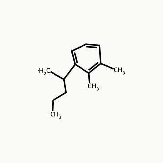 [CH2]C(CCC)c1cccc(C)c1C